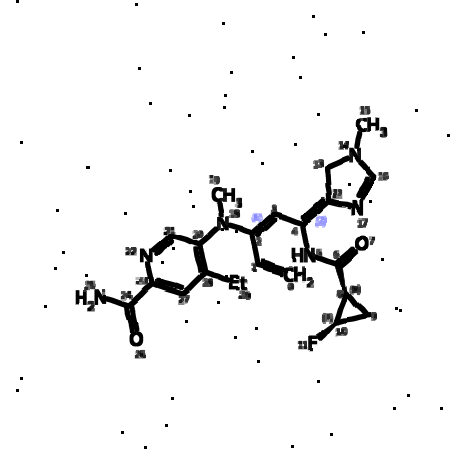 C=C/C(=C\C(NC(=O)[C@H]1C[C@H]1F)=C1/CN(C)C=N1)N(C)c1cnc(C(N)=O)cc1CC